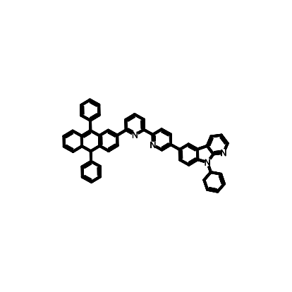 C1=CCC(n2c3ccc(-c4ccc(-c5cccc(-c6ccc7c(c6)C(c6ccccc6)=C6C=CC=CC6C7c6ccccc6)n5)nc4)cc3c3cccnc32)C=C1